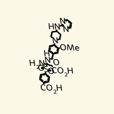 COc1cc(C(=O)NC(N)(CC(=O)O)S(=O)(=O)c2ccc(C(=O)O)cc2)ccc1N1CCC(Nc2ncccn2)CC1